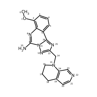 COc1cccc2c1nc(N)n1nc(CN3CCCc4ccncc43)nc21